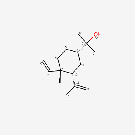 C=C[C@]1(C)CC[C@H](C(C)(C)O)C[C@@H]1C(=C)C